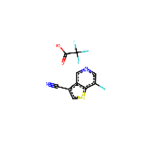 N#Cc1csc2c(F)cncc12.O=C(O)C(F)(F)F